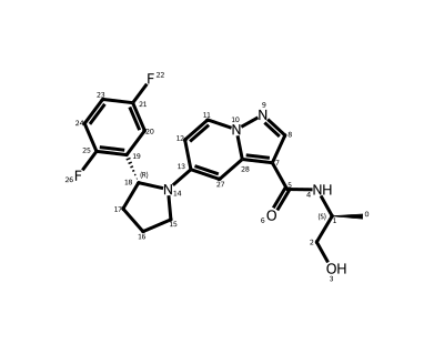 C[C@@H](CO)NC(=O)c1cnn2ccc(N3CCC[C@@H]3c3cc(F)ccc3F)cc12